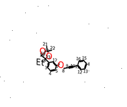 CCC1(c2cccc(OCC#Cc3ccccc3)c2)COC(C)(C)O1